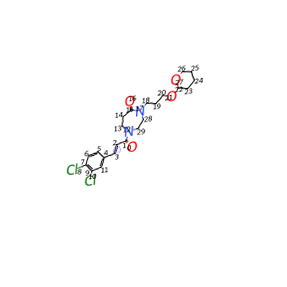 O=C(/C=C/c1ccc(Cl)c(Cl)c1)N1CCC(=O)N(CCCOC2CCCCO2)CC1